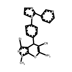 CCc1nn(C)c2c1C(c1ccc(-n3ccnc3-c3cccnc3)cc1)C(C#N)=C(N)O2